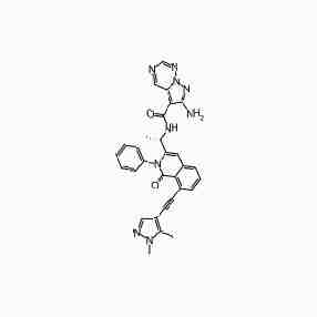 Cc1c(C#Cc2cccc3cc([C@H](C)NC(=O)c4c(N)nn5ncncc45)n(-c4ccccc4)c(=O)c23)cnn1C